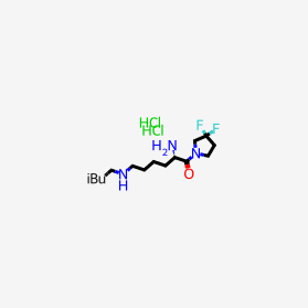 CCC(C)CNCCCC[C@H](N)C(=O)N1CCC(F)(F)C1.Cl.Cl